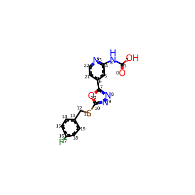 O=C(O)Nc1cc(-c2nnc(SCc3ccc(F)cc3)o2)ccn1